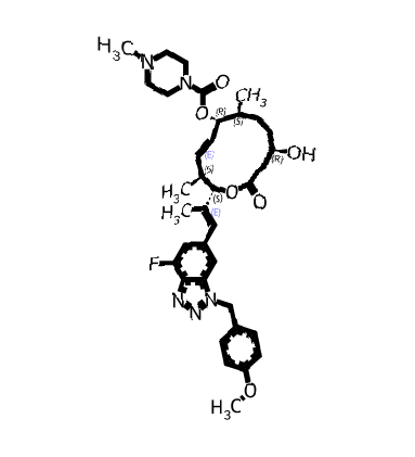 COc1ccc(Cn2nnc3c(F)cc(/C=C(\C)[C@H]4OC(=O)C[C@H](O)CC[C@H](C)[C@@H](OC(=O)N5CCN(C)CC5)/C=C/[C@@H]4C)cc32)cc1